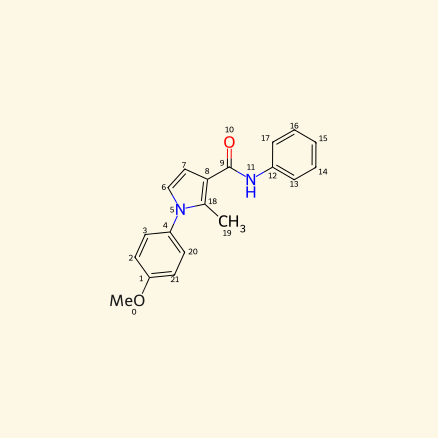 COc1ccc(-n2ccc(C(=O)Nc3ccccc3)c2C)cc1